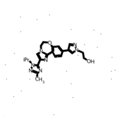 Cc1nc(-c2cn3c(n2)-c2ccc(-c4cnn(CCO)c4)cc2OCC3)n(C(C)C)n1